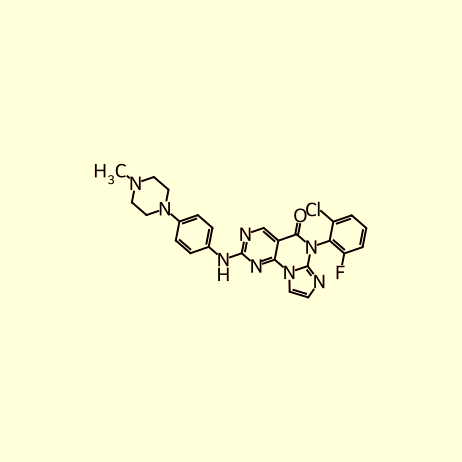 CN1CCN(c2ccc(Nc3ncc4c(=O)n(-c5c(F)cccc5Cl)c5nccn5c4n3)cc2)CC1